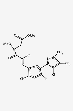 COC(=O)CN(OC)C(=O)C(Cl)=Cc1cc(-c2nn(C)c(C(F)(F)F)c2Cl)c(F)cc1Cl